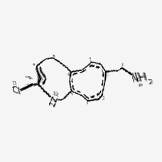 NCc1ccc2c(c1)CC=C(Cl)N2